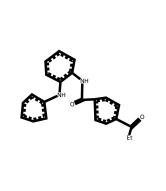 CCC(=O)c1ccc(C(=O)Nc2ccccc2Nc2ccccc2)cc1